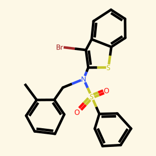 Cc1ccccc1CN(c1sc2ccccc2c1Br)S(=O)(=O)c1ccccc1